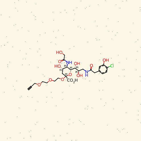 C#CCOCCOCCO[C@]1(C(=O)O)C[C@H](O)[C@@H](NC(=O)CO)[C@H]([C@H](O)[C@H](O)CNC(=O)Cc2ccc(Cl)c(O)c2)O1